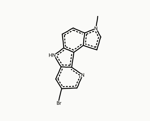 Cn1ccc2c3c(ccc21)[nH]c1cc(Br)cnc13